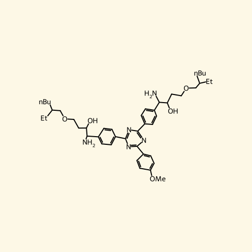 CCCCC(CC)COCCC(O)C(N)c1ccc(-c2nc(-c3ccc(OC)cc3)nc(-c3ccc(C(N)C(O)CCOCC(CC)CCCC)cc3)n2)cc1